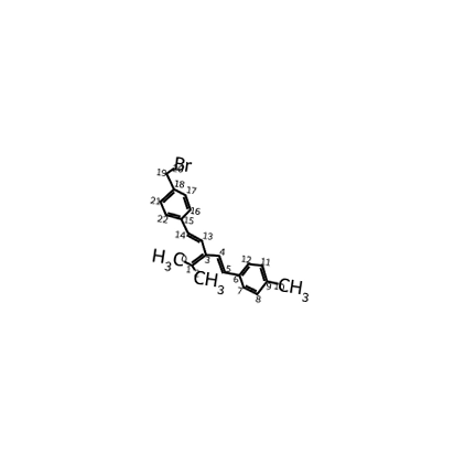 CC(C)=C(C=Cc1ccc(C)cc1)C=Cc1ccc(CBr)cc1